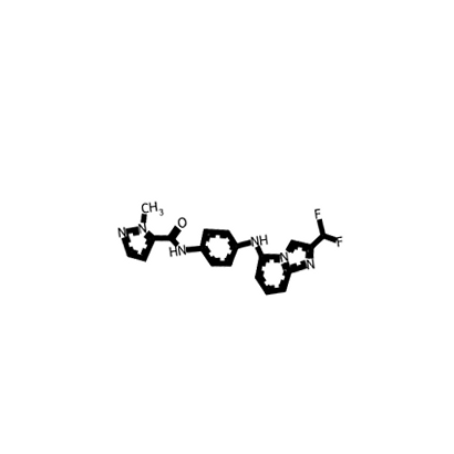 Cn1nccc1C(=O)Nc1ccc(Nc2cccc3nc(C(F)F)cn23)cc1